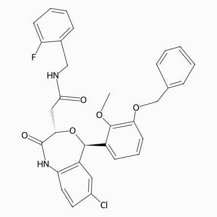 COc1c(OCc2ccccc2)cccc1[C@@H]1O[C@@H](CC(=O)NCc2ccccc2F)C(=O)Nc2ccc(Cl)cc21